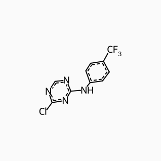 FC(F)(F)c1ccc(Nc2ncnc(Cl)n2)cc1